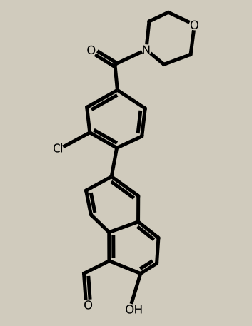 O=Cc1c(O)ccc2cc(-c3ccc(C(=O)N4CCOCC4)cc3Cl)ccc12